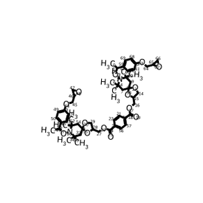 CC(ON1C(C)(C)CC2(CC1(C)C)OCC(COC(=O)c1ccc(C(=O)OCC3COC4(CC(C)(C)N(OC(C)c5ccc(OCC6CO6)cc5)C(C)(C)C4)O3)cc1)O2)c1ccc(OCC2CO2)cc1